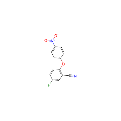 N#Cc1cc(F)ccc1Oc1ccc([N+](=O)[O-])cc1